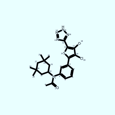 CC(=O)N(c1cccc(-c2sc(-c3nn[nH]n3)c([O])c2Cl)c1)C1CC(C)(C)CC(C)(C)C1